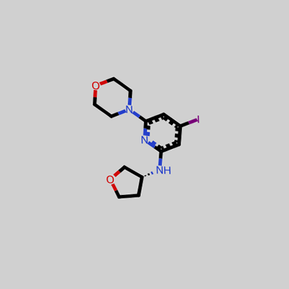 Ic1cc(N[C@@H]2CCOC2)nc(N2CCOCC2)c1